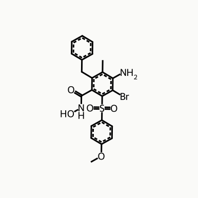 COc1ccc(S(=O)(=O)c2c(Br)c(N)c(C)c(Cc3ccccc3)c2C(=O)NO)cc1